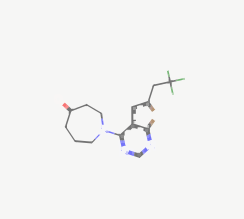 O=C1CCCN(c2ncnc3sc(CC(F)(F)F)cc23)CC1